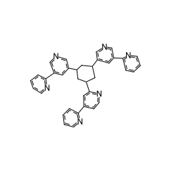 c1ccc(-c2cncc(C3CC(c4cncc(-c5ccccn5)c4)CC(c4cc(-c5ccccn5)ccn4)C3)c2)nc1